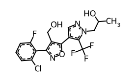 CC(O)Cn1ncc(-c2onc(-c3c(F)cccc3Cl)c2CO)c1C(F)(F)F